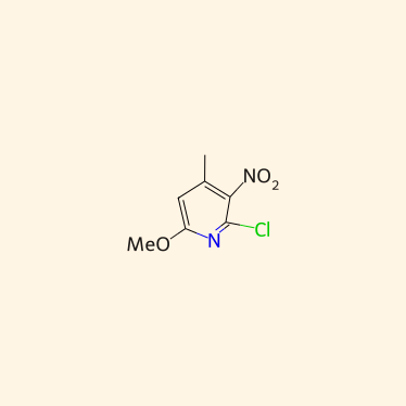 COc1cc(C)c([N+](=O)[O-])c(Cl)n1